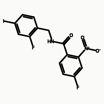 O=C(NCc1ccc(I)cc1F)c1ccc(F)cc1[N+](=O)[O-]